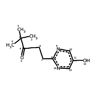 CC(C)(C)C(=O)CCc1ncc(O)cn1